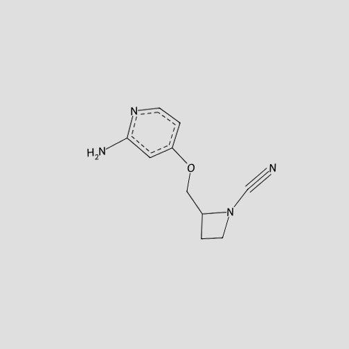 N#CN1CCC1COc1ccnc(N)c1